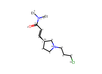 CCN(CC)C(=O)C=C[C@@H]1CCN(CCCCl)C1